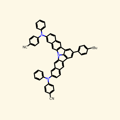 CC(C)(C)c1ccc(-c2cc3c4cc5ccc(N(c6ccccc6)c6ccc(C#N)cc6)cc5cc4n4c5cc6cc(N(c7ccccc7)c7ccc(C#N)cc7)ccc6cc5c(c2)c34)cc1